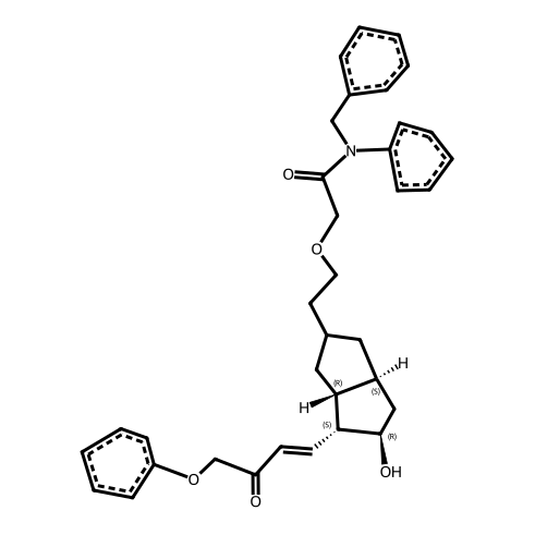 O=C(C=C[C@@H]1[C@@H]2CC(CCOCC(=O)N(Cc3ccccc3)c3ccccc3)C[C@H]2C[C@H]1O)COc1ccccc1